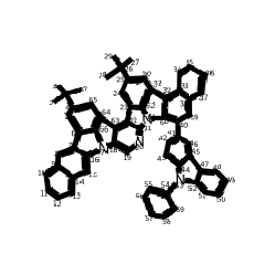 CC(C)(C)c1cc2c3cc4ccccc4cc3n3c4cnc5c(c6cc(C(C)(C)C)cc7c8c9ccccc9cc(-c9ccc%10c(c9)c9ccccc9n%10-c9ccccc9)c8n5c67)c4c(c1)c23